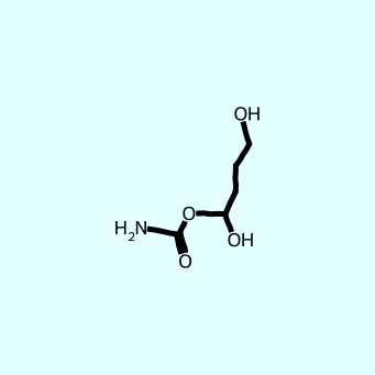 NC(=O)OC(O)CCCO